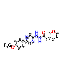 O=C(CC1CCCOC1)NNc1cnc(-c2ccc(OC(F)(F)F)cc2)cn1